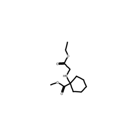 CCOC(=O)CNC1(C(=O)OC)CCCCC1